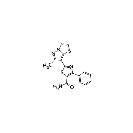 Cc1nn2ccsc2c1-c1nc(-c2ccccc2)c(C(N)=O)s1